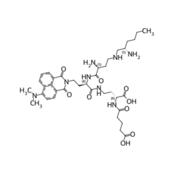 CCCC[C@H](N)CNCC[C@H](N)C(=O)N[C@H](CCN1C(=O)c2cccc3c(N(C)C)ccc(c23)C1=O)C(=O)NCC[C@@H](NC(=O)CCCC(=O)O)C(=O)O